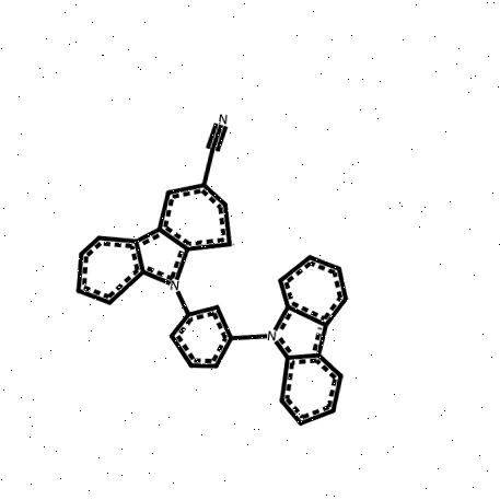 N#Cc1c[c]c2c(c1)c1ccccc1n2-c1cccc(-n2c3ccccc3c3ccccc32)c1